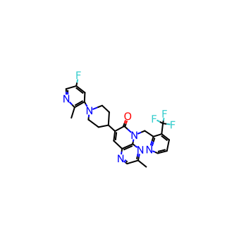 Cc1cnc2cc(C3CCN(c4cc(F)cnc4C)CC3)c(=O)n(Cc3ncccc3C(F)(F)F)c2n1